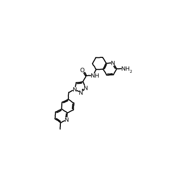 Cc1ccc2cc(Cn3cc(C(=O)NC4CCCc5nc(N)ccc54)nn3)ccc2n1